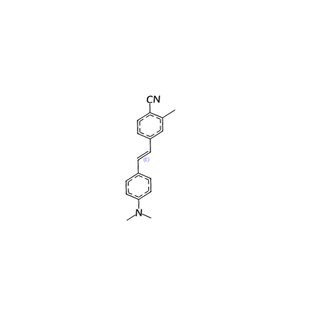 Cc1cc(/C=C/c2ccc(N(C)C)cc2)ccc1C#N